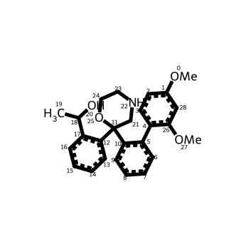 COc1ccc(-c2ccccc2C2(c3ccccc3C(C)O)CNCCO2)c(OC)c1